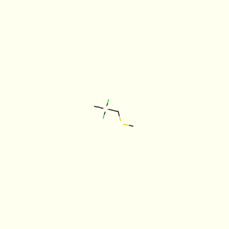 CSC[Si](C)(Cl)Cl